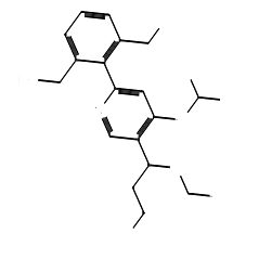 CCCC(OCC)c1cnc(-c2c(CC)cccc2CC)cc1OC(C)C